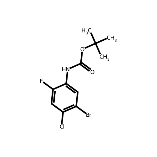 CC(C)(C)OC(=O)Nc1cc(Br)c(Cl)cc1F